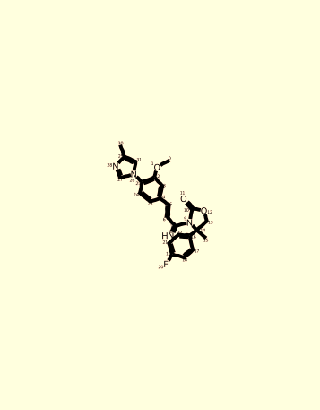 COc1cc(/C=C/C(=N)N2C(=O)OCC2(C)c2ccc(F)cc2)ccc1-n1cnc(C)c1